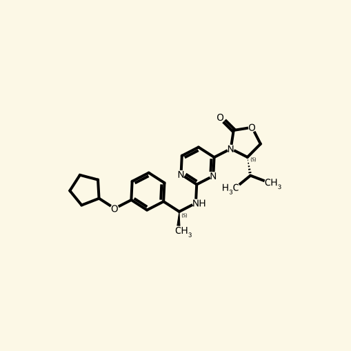 CC(C)[C@H]1COC(=O)N1c1ccnc(N[C@@H](C)c2cccc(OC3CCCC3)c2)n1